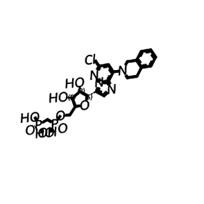 O=P(O)(O)CP(=O)(O)OCC1O[C@@H](c2cnc3c(N4CCc5ccccc5C4)cc(Cl)nn23)[C@H](O)[C@@H]1O